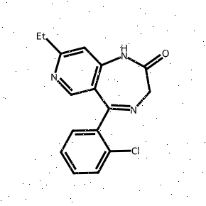 CCc1cc2c(cn1)C(c1ccccc1Cl)=NCC(=O)N2